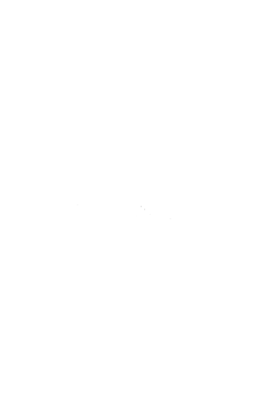 CCCCCCCCCCCCCCCCCCOP(=O)(O)O.NC(CO)(CO)CO